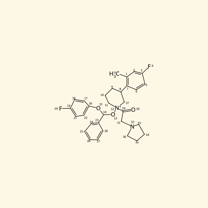 Cc1cc(F)ccc1C1CCC[N+](OC(Oc2ccc(F)cc2)c2ccccc2)(C(=O)CN2CCCC2)C1